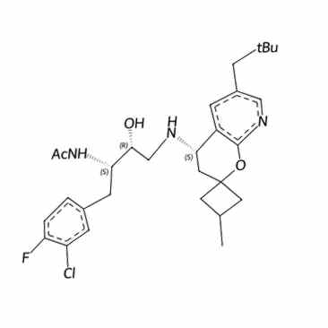 CC(=O)N[C@@H](Cc1ccc(F)c(Cl)c1)[C@H](O)CN[C@H]1CC2(CC(C)C2)Oc2ncc(CC(C)(C)C)cc21